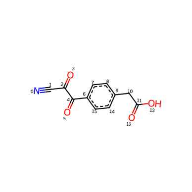 N#CC(=O)C(=O)c1ccc(CC(=O)O)cc1